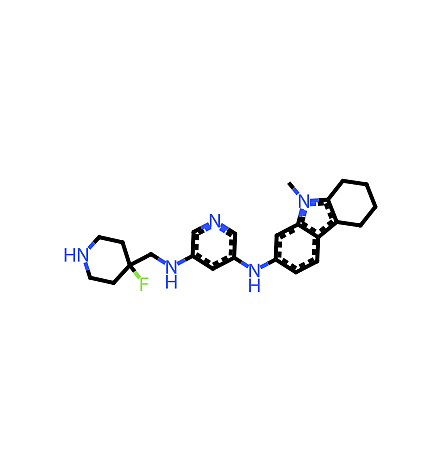 Cn1c2c(c3ccc(Nc4cncc(NCC5(F)CCNCC5)c4)cc31)CCCC2